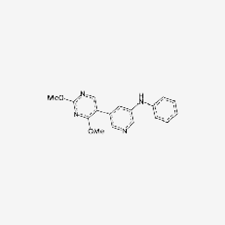 COc1ncc(-c2cncc(Nc3ccccc3)c2)c(OC)n1